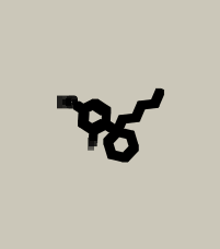 CCCCCC1(c2ccc(O)cc2F)CCCCC1